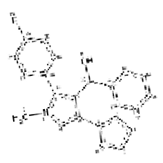 Cn1cc(-c2cccs2)c(C(O)c2cccnc2)c1-c1ccc(F)cc1